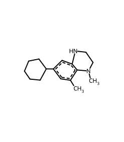 Cc1cc(C2CCCCC2)cc2c1N(C)CCN2